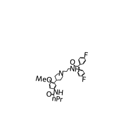 CCCC(=O)Nc1ccc(OC)c(C2CCN(CCCNC(=O)C(c3ccc(F)cc3)c3ccc(F)cc3)CC2)c1